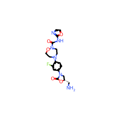 NC[C@H]1CN(c2ccc(N3CCON(C(=O)Nc4ncco4)CC3)c(F)c2)C(=O)O1